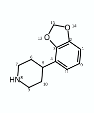 c1cc2c(c(C3CCNCC3)c1)OCO2